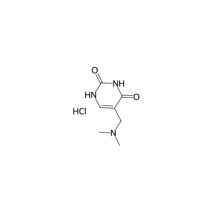 CN(C)Cc1c[nH]c(=O)[nH]c1=O.Cl